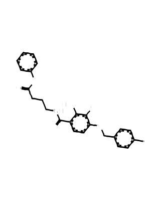 Cc1c(OCc2ccc(C(C)C)cc2)ccc(C(=O)NCCCC(=O)Oc2ccccc2)c1C